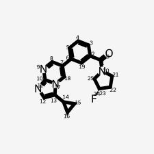 O=C(c1cccc(-c2cnc3ncc(C4CC4)n3c2)c1)N1CC[C@H](F)C1